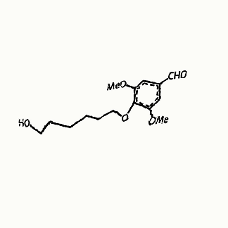 COc1cc(C=O)cc(OC)c1OCCCCCCO